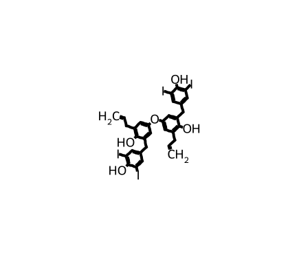 C=CCc1cc(Oc2cc(CC=C)c(O)c(Cc3cc(I)c(O)c(I)c3)c2)cc(Cc2cc(I)c(O)c(I)c2)c1O